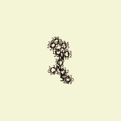 c1ccc(N(c2ccc(-n3c4ccccc4c4c5c(ccc43)-c3cccc4cccc(c34)-c3ccccc3-5)cc2)c2ccc3c(c2)sc2ccccc23)cc1